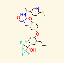 CCCc1cc(C(O)(C(F)(F)F)C(F)(F)F)ccc1Oc1ccnc(CN(C=O)C(=O)NC(C)c2ccc(SC)nc2)c1